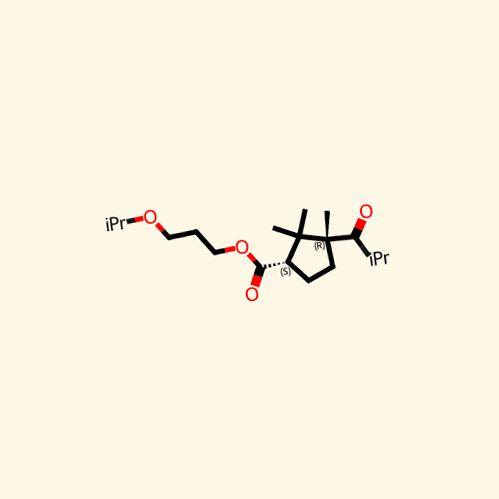 CC(C)OCCCOC(=O)[C@H]1CC[C@@](C)(C(=O)C(C)C)C1(C)C